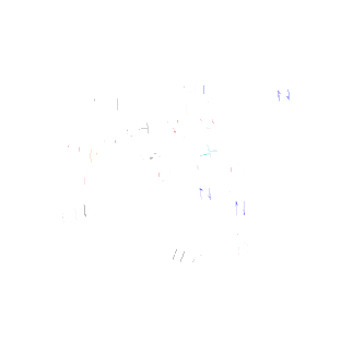 CCOP(=O)(C[C@H](C)[C@H]1O[C@@H](n2cc(C)c(=O)[nH]c2=O)[C@H](F)[C@@H]1OP(N)OCCC#N)OCC